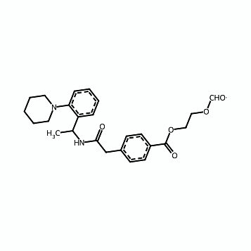 CC(NC(=O)Cc1ccc(C(=O)OCCO[C]=O)cc1)c1ccccc1N1CCCCC1